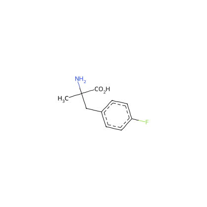 CC(N)(Cc1ccc(F)cc1)C(=O)O